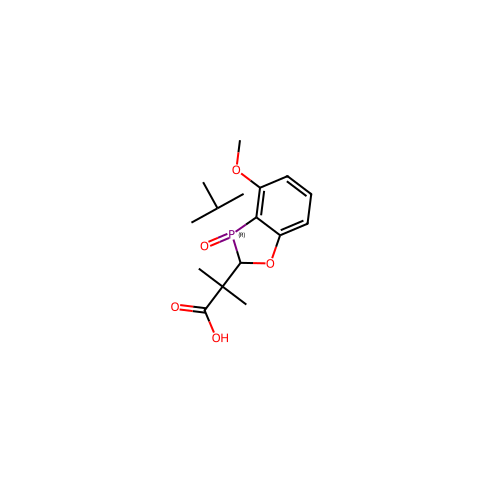 COc1cccc2c1[P@](=O)(C(C)(C)C)C(C(C)(C)C(=O)O)O2